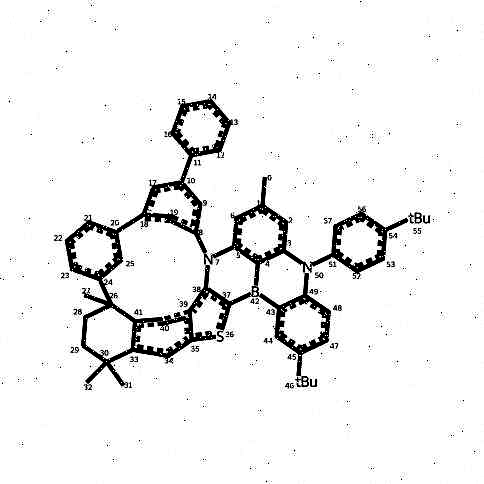 Cc1cc2c3c(c1)N1c4cc(-c5ccccc5)cc(c4)-c4cccc(c4)C4(C)CCC(C)(C)c5cc6sc(c1c6cc54)B3c1cc(C(C)(C)C)ccc1N2c1ccc(C(C)(C)C)cc1